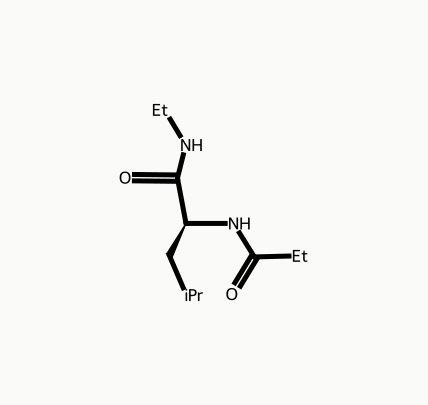 CCNC(=O)[C@H](CC(C)C)NC(=O)CC